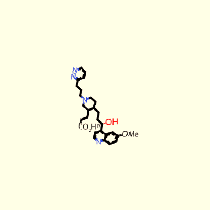 COc1ccc2nccc([C@@H](O)CCC3CCN(CCCc4cccnn4)CC3CCC(=O)O)c2c1